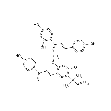 C=CC(C)(C)c1cc(/C=C/C(=O)c2ccc(O)cc2)c(OC)cc1O.O=C(/C=C/c1ccc(O)cc1)c1ccc(O)cc1O